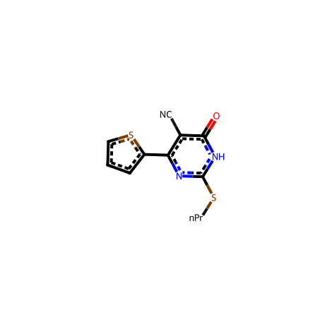 CCCSc1nc(-c2cccs2)c(C#N)c(=O)[nH]1